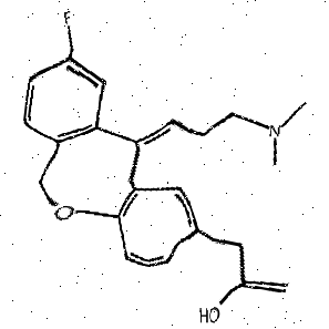 C=C(O)Cc1ccc2c(c1)/C(=C\CCN(C)C)c1cc(F)ccc1CO2